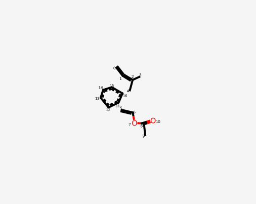 C=C=C(C)C.C=COC(C)=O.c1ccccc1